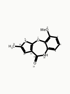 COc1cccc2c1Oc1sc(C)cc1C(=O)N2